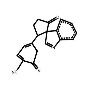 N#CC1=CC=C(C2CCC(=O)C23C=Nc2ccccc23)CC1=S